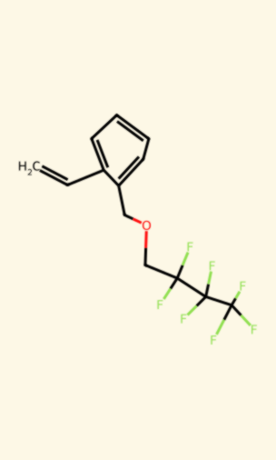 C=Cc1ccccc1COCC(F)(F)C(F)(F)C(F)(F)F